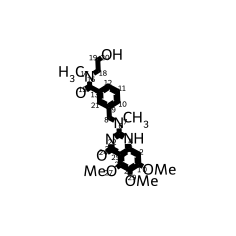 COc1cc2[nH]c(N(C)Cc3cccc(C(=O)N(C)CCO)c3)nc(=O)c2c(OC)c1OC